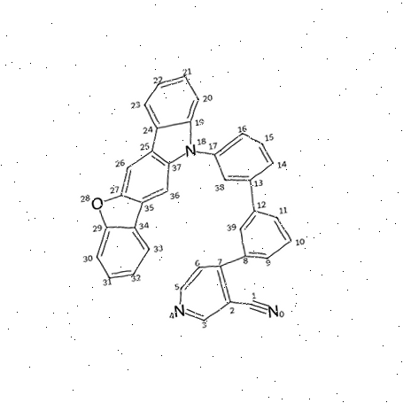 N#Cc1cnccc1-c1cccc(-c2cccc(-n3c4ccccc4c4cc5oc6ccccc6c5cc43)c2)c1